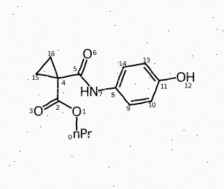 CCCOC(=O)C1(C(=O)Nc2ccc(O)cc2)CC1